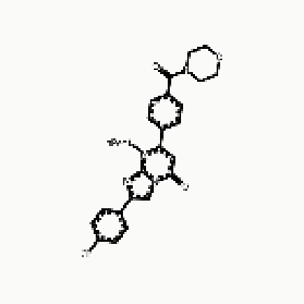 CCCCCn1c(-c2ccc(C(=O)N3CCOCC3)cc2)cc(=O)n2cc(-c3ccc(Cl)cc3)nc12